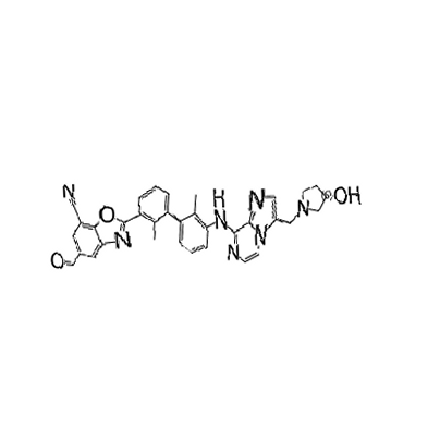 Cc1c(Nc2nccn3c(CN4CC[C@H](O)C4)cnc23)cccc1-c1cccc(-c2nc3cc(C=O)cc(C#N)c3o2)c1C